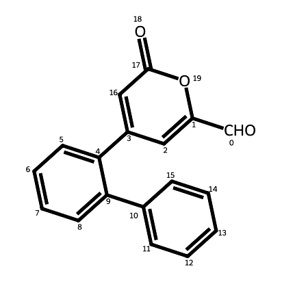 O=Cc1cc(-c2ccccc2-c2ccccc2)cc(=O)o1